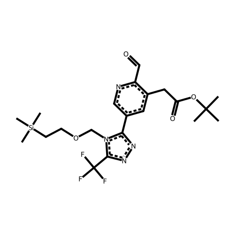 CC(C)(C)OC(=O)Cc1cc(-c2nnc(C(F)(F)F)n2COCC[Si](C)(C)C)cnc1C=O